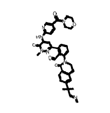 C/N=C/C(C)(C)c1ccc2c(c1)CCN(c1cccc(-c3cc(Nc4ccc(C(=O)N5CCOCC5)cn4)c(=O)n(C)n3)c1C=O)C2=O